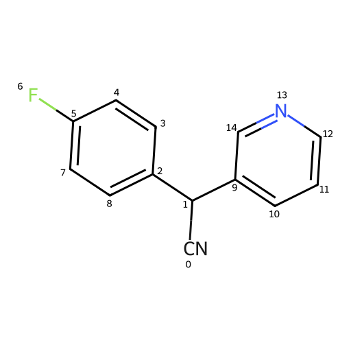 N#CC(c1ccc(F)cc1)c1cccnc1